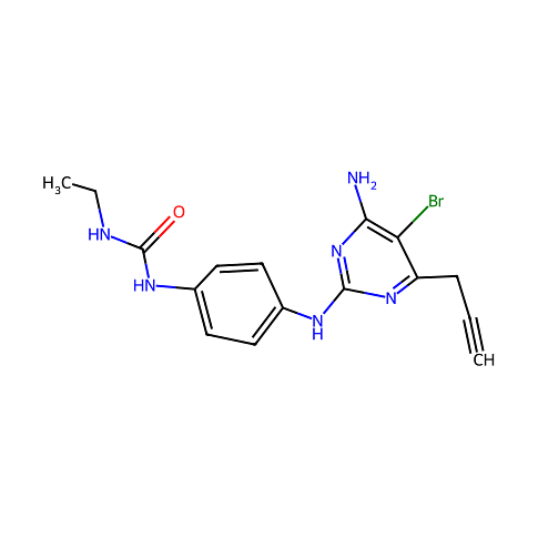 C#CCc1nc(Nc2ccc(NC(=O)NCC)cc2)nc(N)c1Br